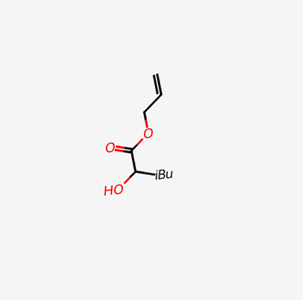 C=CCOC(=O)C(O)C(C)CC